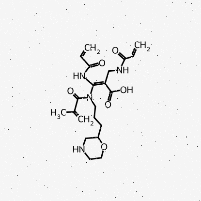 C=CC(=O)NCC(C(=O)O)=C(NC(=O)C=C)N(CCCC1CNCCO1)C(=O)C(=C)C